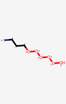 OOOOOOCCCI